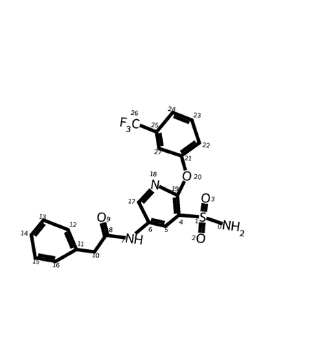 NS(=O)(=O)c1cc(NC(=O)Cc2ccccc2)cnc1Oc1cccc(C(F)(F)F)c1